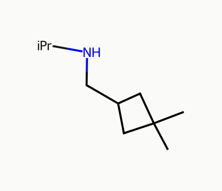 CC(C)NCC1CC(C)(C)C1